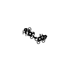 COc1cc2c(cc1OCCCOc1cc3c(cc1OC)C(=O)N1CCC[C@H]1C=N3)N=CC1CCCN1C2=O